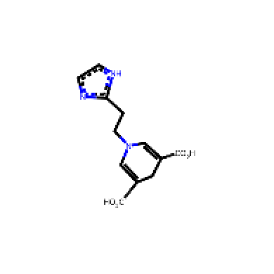 O=C(O)C1=CN(CCc2ncc[nH]2)C=C(C(=O)O)C1